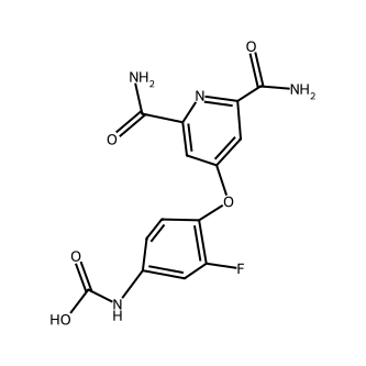 NC(=O)c1cc(Oc2ccc(NC(=O)O)cc2F)cc(C(N)=O)n1